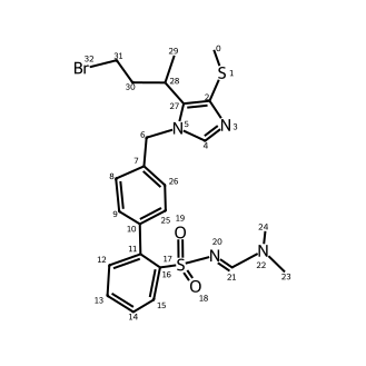 CSc1ncn(Cc2ccc(-c3ccccc3S(=O)(=O)N=CN(C)C)cc2)c1C(C)CCBr